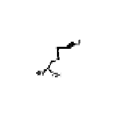 C#CCCCC(O)O